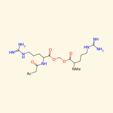 CNC(CCCNC(=N)N)C(=O)OCOC(=O)C(CCCNC(=N)N)NC(=O)CC(C)=O